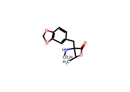 CC1OC(=O)C1(Cc1ccc2c(c1)OCO2)NC(=O)O